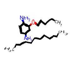 CCCCCCCCCCCC.CCCCCOc1cc(N)ccc1N